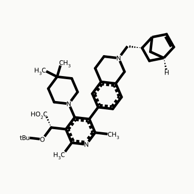 Cc1nc(C)c([C@H](OC(C)(C)C)C(=O)O)c(N2CCC(C)(C)CC2)c1-c1ccc2c(c1)CCN(C[C@H]1C[C@@H]3C=CC1C3)C2